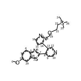 COc1ccc2nc(-c3ccncc3-c3ccnn3COCCS(C)(C)C)sc2c1